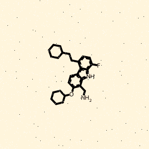 NCc1c(OC2CCCCC2)ccc2c1[nH]c1c(F)ccc(CCC3CCCCC3)c12